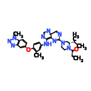 C=CC(=O)N1CCN(c2ncc3ncnc(Nc4ccc(Oc5ccc6c(c5)nnn6C)c(C)c4)c3n2)C[C@@H]1C(C)C